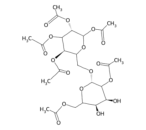 CC(=O)OCC1O[C@H](OCC2OC(OC(C)=O)[C@@H](OC(C)=O)C(OC(C)=O)[C@@H]2OC(C)=O)C(OC(C)=O)[C@@H](O)[C@H]1O